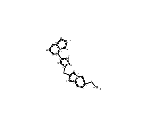 NCc1ccc2nc(Cn3cc(-c4cccc5cncn45)nn3)cn2c1